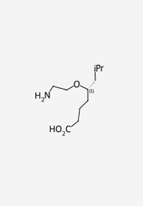 CC(C)C[C@H](CCCC(=O)O)OCCN